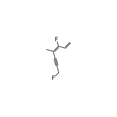 C=C/C(F)=C(/C)C#CCF